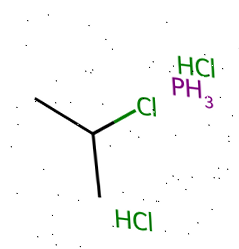 CC(C)Cl.Cl.Cl.P